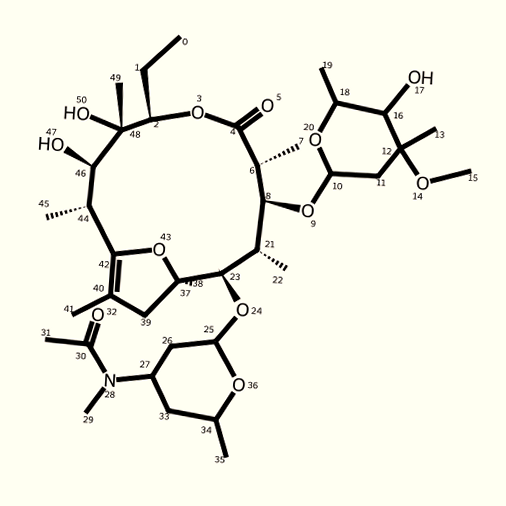 CC[C@H]1OC(=O)[C@H](C)[C@@H](OC2CC(C)(OC)C(O)C(C)O2)[C@H](C)[C@@H](OC2CC(N(C)C(C)=O)CC(C)O2)[C@@]2(C)CC(C)=C(O2)[C@H](C)[C@@H](O)[C@]1(C)O